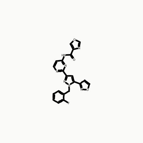 O=C(Nc1ccnc(-c2cc(-c3ccon3)n(Cc3ccccc3F)n2)n1)c1cocn1